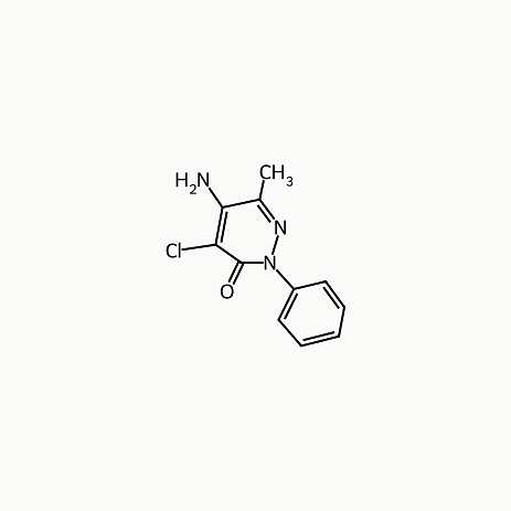 Cc1nn(-c2ccccc2)c(=O)c(Cl)c1N